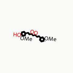 COc1[c]ccc(/C=C/C(=O)CC(=O)/C=C/c2ccc(O)c(OC)c2)c1